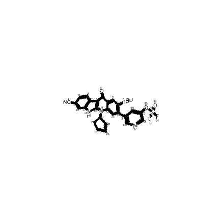 CCCCc1cc2c(=O)c3c4ccc(C#N)cc4[nH]c3n(C3CCCC3)c2cc1-c1cncc(OS(=O)(=O)F)c1